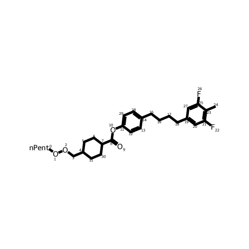 [CH2+][CH-]CCCOOCC1CCC(C(=O)Oc2ccc(CCCCc3cc(F)c(C)c(F)c3)cc2)CC1